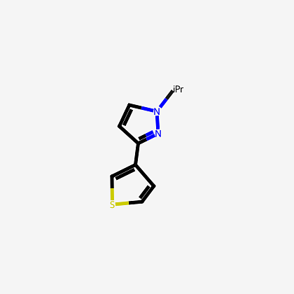 CC(C)n1ccc(-c2ccsc2)n1